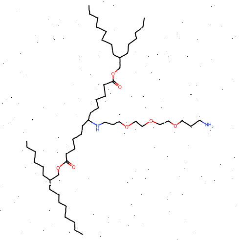 CCCCCCCCC(CCCCCC)COC(=O)CCCCCC(CCCCCC(=O)OCC(CCCCCC)CCCCCCCC)NCCCOCCOCCOCCCN